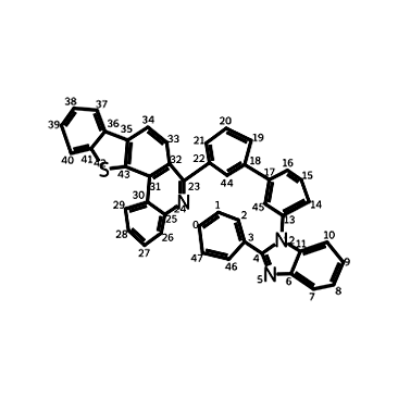 c1ccc(-c2nc3ccccc3n2-c2cccc(-c3cccc(-c4nc5ccccc5c5c4ccc4c6ccccc6sc45)c3)c2)cc1